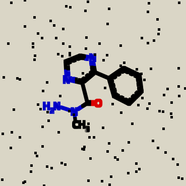 CN(N)C(=O)c1nccnc1-c1ccccc1